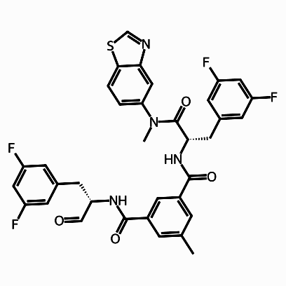 Cc1cc(C(=O)N[C@H](C=O)Cc2cc(F)cc(F)c2)cc(C(=O)N[C@@H](Cc2cc(F)cc(F)c2)C(=O)N(C)c2ccc3scnc3c2)c1